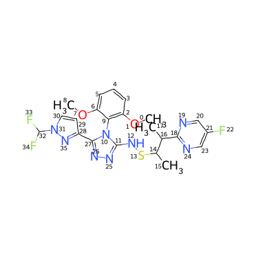 COc1cccc(OC)c1-n1c(NSC(C)C(C)c2ncc(F)cn2)nnc1-c1ccn(C(F)F)n1